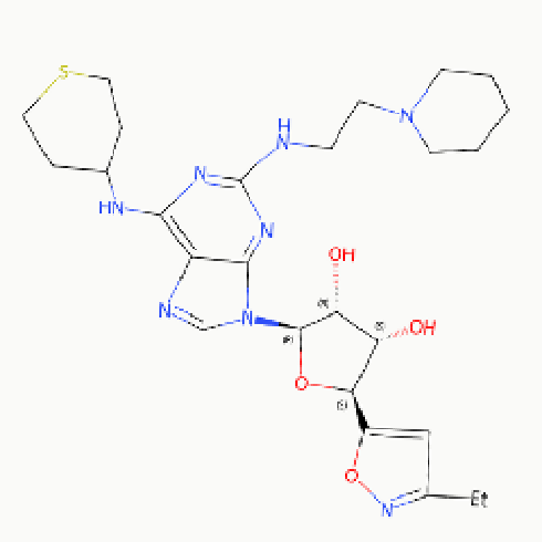 CCc1cc([C@H]2O[C@@H](n3cnc4c(NC5CCSCC5)nc(NCCN5CCCCC5)nc43)[C@H](O)[C@@H]2O)on1